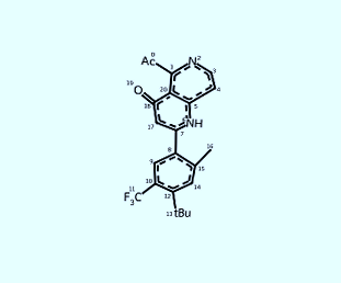 CC(=O)c1nccc2[nH]c(-c3cc(C(F)(F)F)c(C(C)(C)C)cc3C)cc(=O)c12